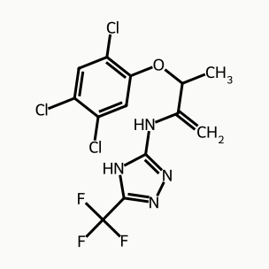 C=C(Nc1nnc(C(F)(F)F)[nH]1)C(C)Oc1cc(Cl)c(Cl)cc1Cl